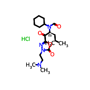 CC(C)C[C@@H](C(=O)c1nn(CCN(C)C)c(=O)o1)N(C=O)C1CCCCC1.Cl